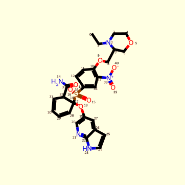 CCN1CCOCC1COc1ccc(S(=O)(=O)C2(Oc3cnc4[nH]ccc4c3)C=CC=CC2C(N)=O)cc1[N+](=O)[O-]